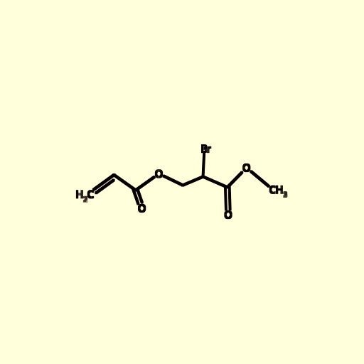 C=CC(=O)OCC(Br)C(=O)OC